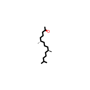 CC(=O)CCC[C@@H](C)CCC[C@@H](C)CCCC(C)C